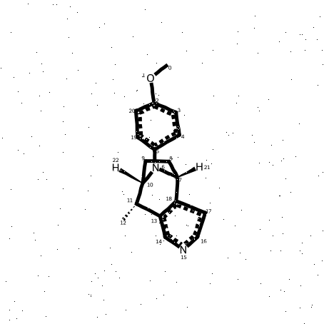 COc1ccc(N2[C@@H]3CC[C@H]2[C@@H](C)c2cnccc23)cc1